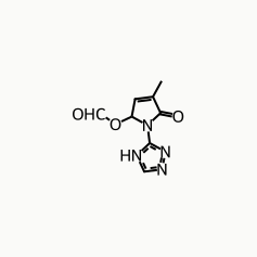 CC1=CC(OC=O)N(c2nnc[nH]2)C1=O